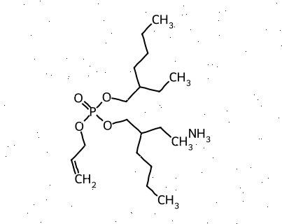 C=CCOP(=O)(OCC(CC)CCCC)OCC(CC)CCCC.N